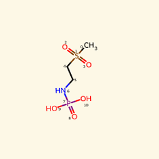 CS(=O)(=O)CCNP(=O)(O)O